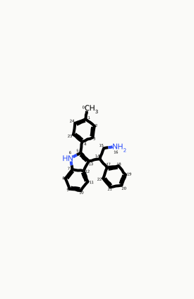 Cc1ccc(-c2[nH]c3ccccc3c2C(CN)c2ccccc2)cc1